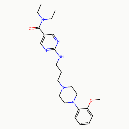 CCN(CC)C(=O)c1cnc(NCCCN2CCN(c3ccccc3OC)CC2)nc1